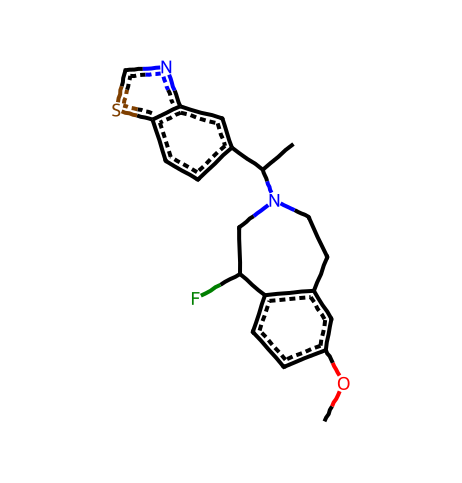 COc1ccc2c(c1)CCN(C(C)c1ccc3scnc3c1)CC2F